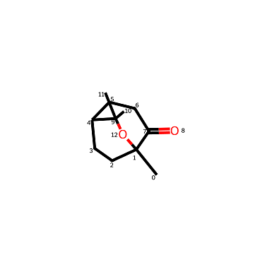 CC12CCC(CCC1=O)C(C)(C)O2